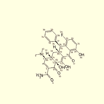 CN(C)[C@@H]1C=C(C(N)=O)C(=O)[C@@]2(O)C(O)=C3C(=O)c4c(O)ccc(F)c4[C@H](c4ccccc4)[C@H]3C[C@@H]12